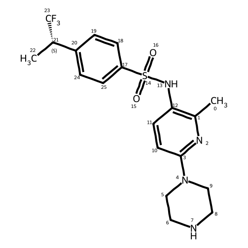 Cc1nc(N2CCNCC2)ccc1NS(=O)(=O)c1ccc([C@H](C)C(F)(F)F)cc1